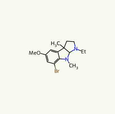 CCN1CCC2(C)c3cc(OC)cc(Br)c3N(C)C12